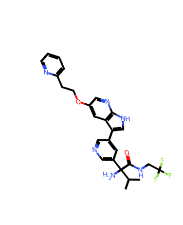 CC(C)C(N)(C(=O)NCC(F)(F)F)c1cncc(-c2c[nH]c3ncc(OCCc4ccccn4)cc23)c1